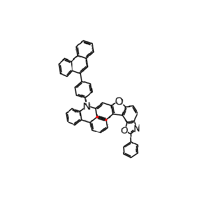 c1ccc(-c2nc3ccc4oc5cc(N(c6ccc(-c7cc8ccccc8c8ccccc78)cc6)c6ccccc6-c6ccccc6)ccc5c4c3o2)cc1